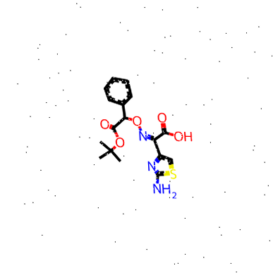 CC(C)(C)OC(=O)C(O/N=C(\C(=O)O)c1csc(N)n1)c1ccccc1